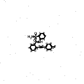 NS(=O)(=O)c1ccccc1NC(=O)c1ccccc1C#Cc1ccc(F)cc1